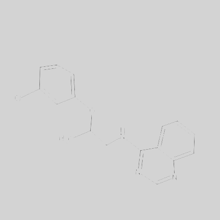 CC(CNc1ncnc2ccccc12)Oc1cccc(Cl)c1